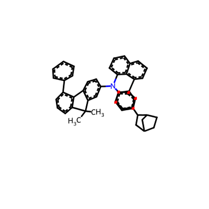 CC1(C)c2cc(N(c3ccc(C4CC5CCC4C5)cc3)c3cccc4cccc(C5CCCCC5)c34)ccc2-c2c(-c3ccccc3)cccc21